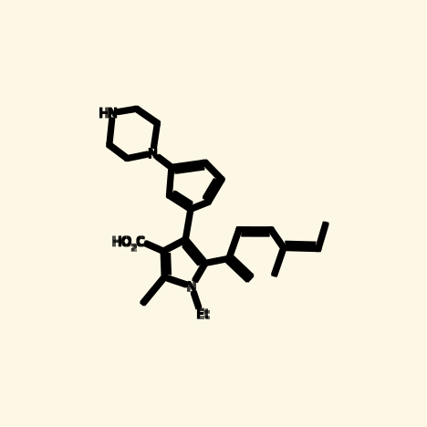 C=C(/C=C\C(C)=C/C)c1c(-c2cccc(N3CCNCC3)c2)c(C(=O)O)c(C)n1CC